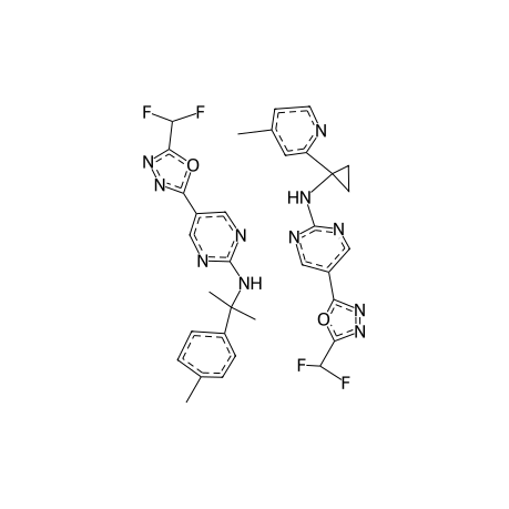 Cc1ccc(C(C)(C)Nc2ncc(-c3nnc(C(F)F)o3)cn2)cc1.Cc1ccnc(C2(Nc3ncc(-c4nnc(C(F)F)o4)cn3)CC2)c1